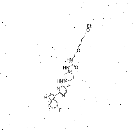 CCOCCCCCOCCNC(=O)N[C@H]1CCC[C@@H](Nc2nc(-c3c[nH]c4ncc(F)cc34)ncc2F)C1